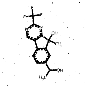 CC(O)c1ccc2c(c1)C(C)(O)c1nc(C(F)(F)F)ncc1-2